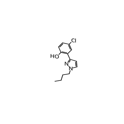 CCCCn1ccc(-c2cc(Cl)ccc2O)n1